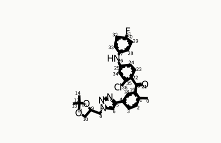 Cc1ccc(-c2cn(CC3COC(C)(C)O3)nn2)cc1C(=O)c1ccc(Nc2ccc(F)cc2)cc1Cl